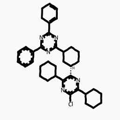 Clc1nc(C2CCCCC2)c([C@H]2CCCC(c3nc(C4=CC=CCC4)nc(-c4ccccc4)n3)C2)nc1C1CCCCC1